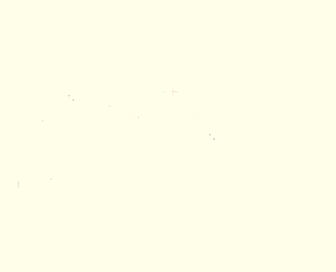 COc1ccc2nccc(C(=O)CC[C@H]3CCN(CCSc4ccsc4)C[C@H]3C(=O)O)c2c1